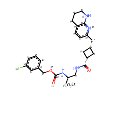 CCOC(=O)[C@H](CNC(=O)[C@H]1C[C@@H](Cc2ccc3c(n2)NCCC3)C1)NC(=O)OCc1cccc(F)c1